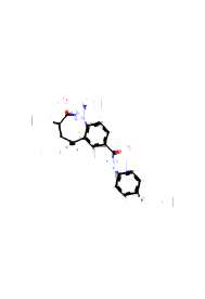 CC1CC(C)(C)c2cc(C(=O)Nc3ccc(C(=O)O)cc3)ccc2N(C)C1=O